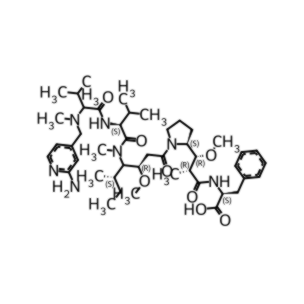 CC[C@H](C)C([C@@H](CC(=O)N1CCC[C@H]1[C@H](OC)[C@@H](C)C(=O)N[C@@H](Cc1ccccc1)C(=O)O)OC)N(C)C(=O)[C@@H](NC(=O)C(C(C)C)N(C)Cc1ccnc(N)c1)C(C)C